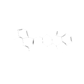 Cc1cc(OC2CCN(C(C)c3ccccc3C=O)CC2)c2cccc(F)c2n1